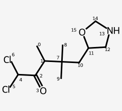 CC(C(=O)C(Cl)Cl)C(C)(C)CC1CNCO1